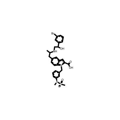 CC(Cc1ccc2c(c1)cc(C(=O)O)n2Cc1cccc(N(C)S(C)(=O)=O)c1)NCC(O)c1cccc(Br)c1